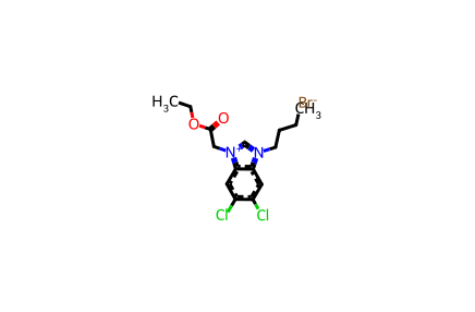 CCCCn1c[n+](CC(=O)OCC)c2cc(Cl)c(Cl)cc21.[Br-]